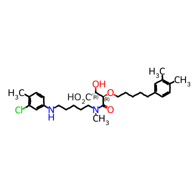 Cc1ccc(CCCCCO[C@@H](C(=O)N(C)CCCCCNc2ccc(C)c(Cl)c2)[C@@H](O)C(=O)O)cc1C